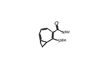 CNC(=O)C1=C(SC)C2CC2=CC=C1